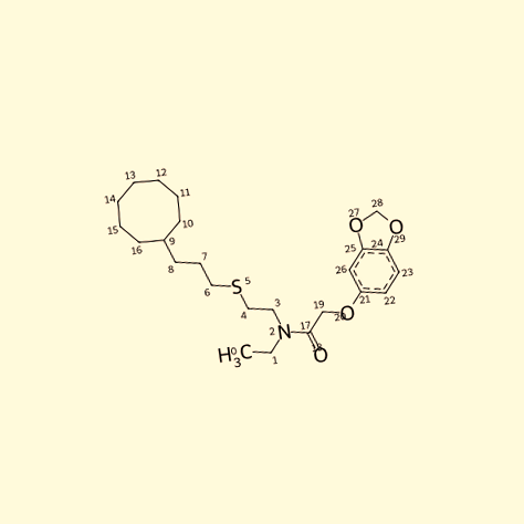 CCN(CCSCCCC1CCCCCCC1)C(=O)COc1ccc2c(c1)OCO2